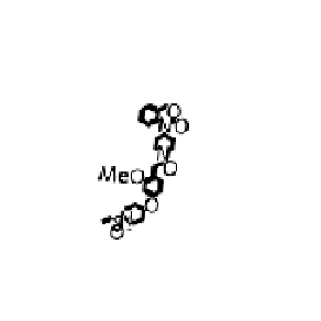 C=C[S+]([O-])N1CCC(Oc2ccc(CC(=O)N3CCC(N4C(=O)OCc5ccccc54)CC3)c(OC)c2)CC1